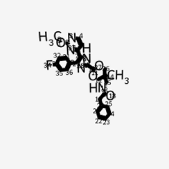 COc1nccc(-c2[nH]c(C3OCC(C)(CNC(=O)Cc4ccccc4)CO3)nc2-c2ccc(F)cc2)n1